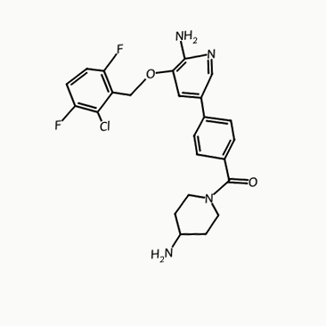 Nc1ncc(-c2ccc(C(=O)N3CCC(N)CC3)cc2)cc1OCc1c(F)ccc(F)c1Cl